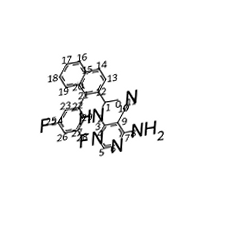 CC(Nc1ncnc(N)c1C#N)c1ccc2ccccc2c1-c1cc(F)cc(F)c1